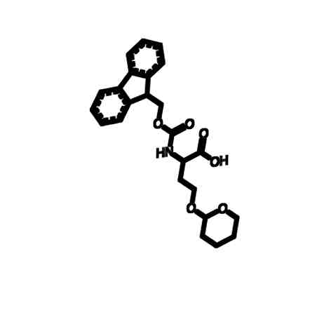 O=C(NC(CCOC1CCCCO1)C(=O)O)OCC1c2ccccc2-c2ccccc21